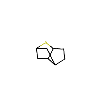 C1CC2SC3CC1C2C3